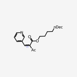 CCCCCCCCCCCCCCOC(=O)/C(=C\c1cccnc1)C(C)=O